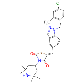 CC1(C)CC(N2C(=O)SC(=Cc3ccc4c(cnn4Cc4ccc(Cl)cc4C(F)(F)F)c3)C2=O)CC(C)(C)N1